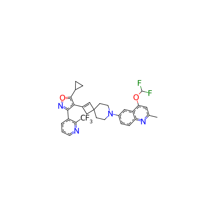 Cc1cc(OC(F)F)c2cc(N3CCC4(C=C(c5c(-c6cccnc6C(F)(F)F)noc5C5CC5)C4)CC3)ccc2n1